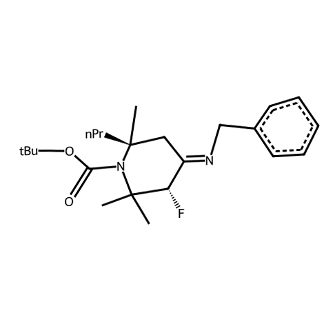 CCC[C@@]1(C)C/C(=N\Cc2ccccc2)[C@H](F)C(C)(C)N1C(=O)OC(C)(C)C